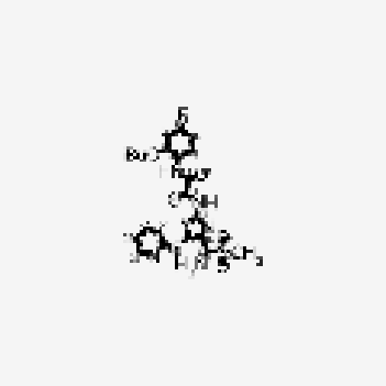 CC(C)COc1cc(F)ccc1NC(=O)C(=O)Nc1nc(C(N)S(C)(=O)=O)c(Sc2ccccn2)s1